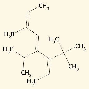 BC(=C/C)/C=C(/C(=C\C)C(C)(C)C)C(C)C